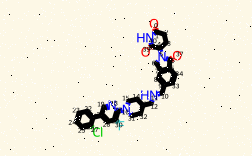 O=C1CCC(N2Cc3cc(CNCC4CCN(c5ncc(-c6ccccc6Cl)cc5F)CC4)ccc3C2=O)C(=O)N1